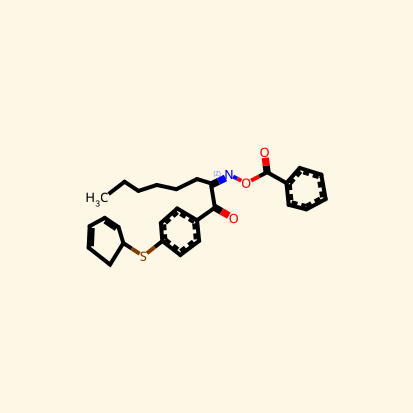 CCCCCC/C(=N/OC(=O)c1ccccc1)C(=O)c1ccc(SC2C=CC=CC2)cc1